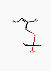 CCCC=C(CC)COC(C)(C)O